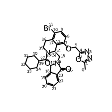 Cc1nnc(COc2ccc(Br)c3c2[C@@H](CN2Cc4ccccc4C2=O)N(C(=O)C2CCCCC2)CC3)o1